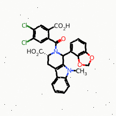 Cn1c2c(c3ccccc31)C[C@H](C(=O)O)N(C(=O)c1cc(Cl)c(Cl)cc1C(=O)O)C2c1cccc2c1OCO2